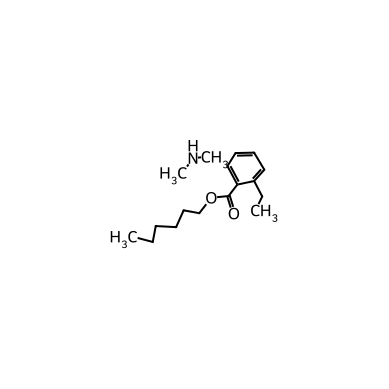 CCCCCCOC(=O)c1ccccc1CC.CNC